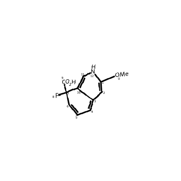 COC1=CC2=CC=CC(F)(C(=O)O)C2=CN1